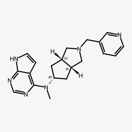 CN(c1ncnc2[nH]ccc12)[C@@H]1C[C@@H]2CN(Cc3cccnc3)C[C@@H]2C1